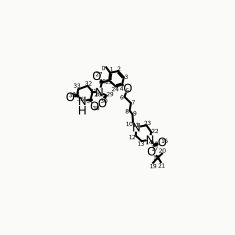 Cc1ccc(OCCCCCN2CCN(C(=O)OC(C)(C)C)CC2)cc1C(=O)N(C=O)C1CCC(=O)NC1=O